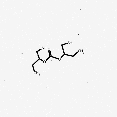 CCC(CS)OC(=O)OC(CC)CS